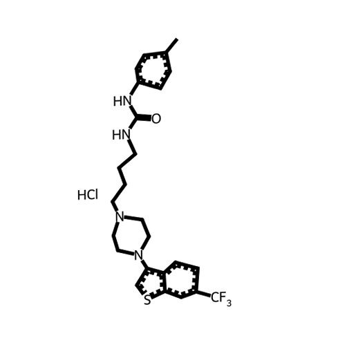 Cc1ccc(NC(=O)NCCCCN2CCN(c3csc4cc(C(F)(F)F)ccc34)CC2)cc1.Cl